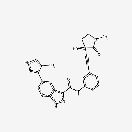 Cc1c[nH]nc1-c1cnc2[nH]nc(C(=O)Nc3cccc(C#C[C@]4(O)CCN(C)C4=O)c3)c2c1